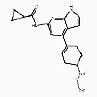 CCCSNC1CC=C(c2cc(NC(=O)C3CC3)nc3[nH]ccc23)CC1